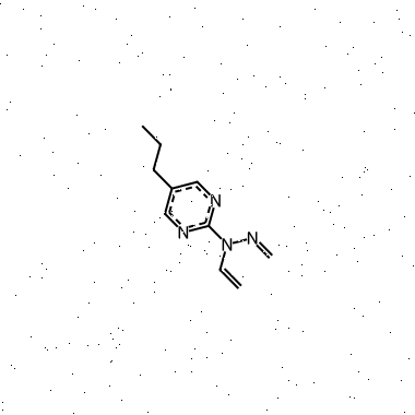 C=CN(N=C)c1ncc(CCC)cn1